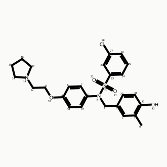 Cc1cc(CN(c2ccc(OCCN3CCCC3)cc2)S(=O)(=O)c2cccc(Cl)c2)ccc1O